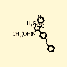 CN(O)C1=C(c2ccc(OCc3ccccc3)cc2)C(=O)[N+](C)(c2cccnc2)C1